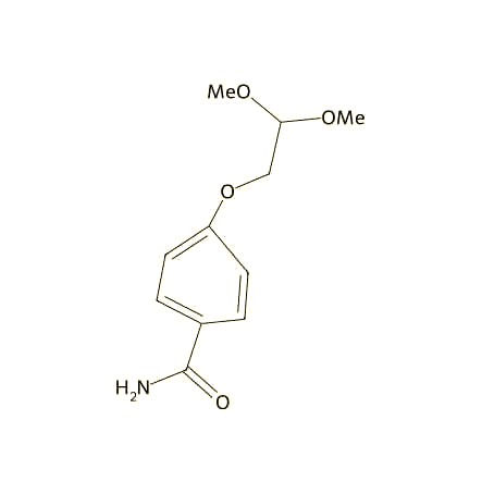 COC(COc1ccc(C(N)=O)cc1)OC